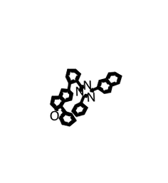 c1ccc(-c2nc(-c3ccc4ccccc4c3)nc(-c3ccccc3-c3ccc4c(ccc5oc6ccccc6c54)c3)n2)cc1